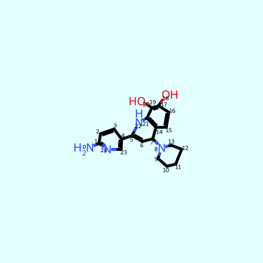 Nc1ccc(C2=CC(N3CCCCC3)c3ccc(O)c(O)c3N2)cn1